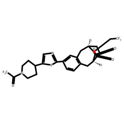 O=C(N1CCC(c2cnc(-c3ccc4c(c3)C[C@H]3CC[C@@H](C4)[C@]34CN(CC(F)(F)F)S(=O)(=O)N4)s2)CC1)C(F)(F)F